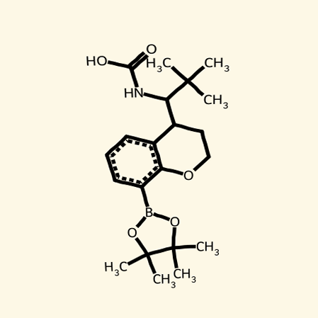 CC(C)(C)C(NC(=O)O)C1CCOc2c(B3OC(C)(C)C(C)(C)O3)cccc21